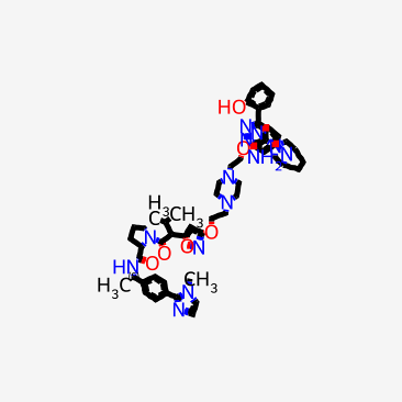 CC(C)C(C(=O)N1CCCC1C(=O)N[C@@H](C)c1ccc(-c2nccn2C)cc1)c1cc(OCCN2CCN(CCOc3cc(N4C5CCC4CN(c4cc(-c6ccccc6O)nnc4N)C5)ccn3)CC2)no1